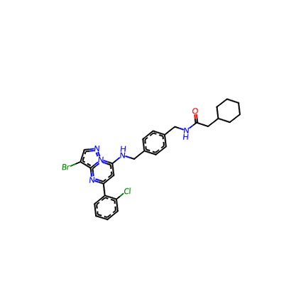 O=C(CC1CCCCC1)NCc1ccc(CNc2cc(-c3ccccc3Cl)nc3c(Br)cnn23)cc1